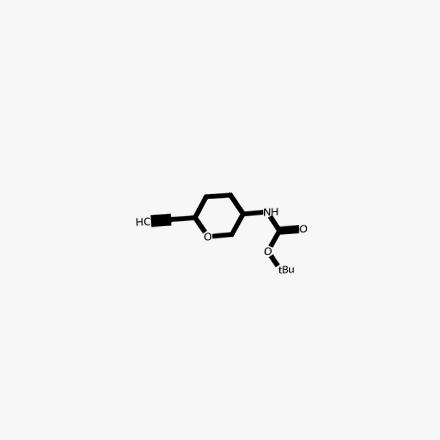 C#CC1CCC(NC(=O)OC(C)(C)C)CO1